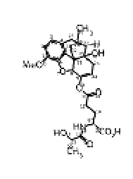 COc1ccc2c3c1OC1C(OC(=O)CC[C@H](NC(=O)[C@H](C)O)C(=O)O)=CC[C@@]4(O)[C@@H](C2)N(C)CCC314